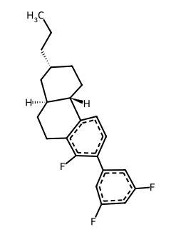 CCC[C@@H]1CC[C@@H]2c3ccc(-c4cc(F)cc(F)c4)c(F)c3CC[C@H]2C1